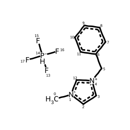 Cn1cc[n+](Cc2ccccc2)c1.F[PH-](F)(F)F